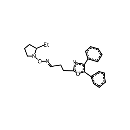 CCC1CCCN1O/N=C/CCc1nc(-c2ccccc2)c(-c2ccccc2)o1